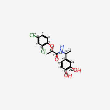 CC(Oc1ccc(Cl)cc1Cl)C(=O)NC(C)c1ccc(O)c(O)c1